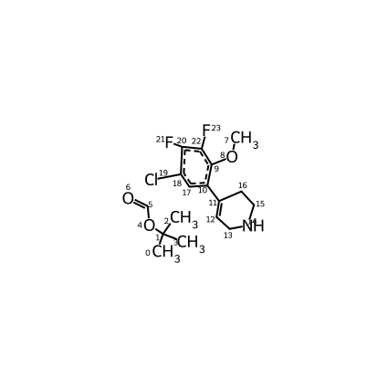 CC(C)(C)OC=O.COc1c(C2=CCNCC2)cc(Cl)c(F)c1F